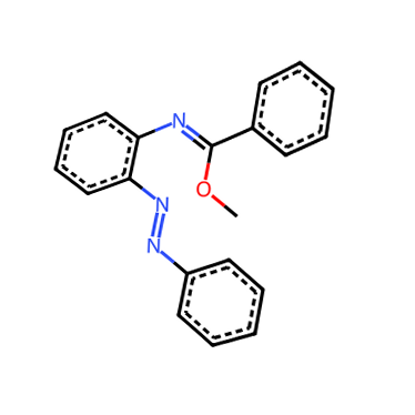 COC(=Nc1ccccc1N=Nc1ccccc1)c1ccccc1